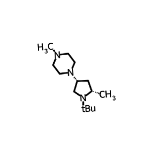 C[C@H]1C[C@@H](N2CCN(C)CC2)CN1C(C)(C)C